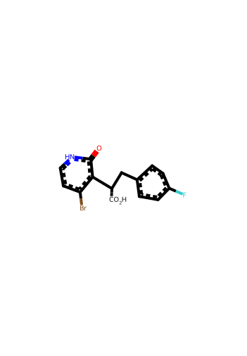 O=C(O)C(Cc1ccc(F)cc1)c1c(Br)cc[nH]c1=O